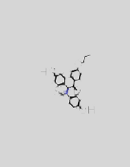 CCCOc1ccc(C(=O)/C(=C(/C)c2ccc(O)cc2)c2ccc(O)cc2S)cc1